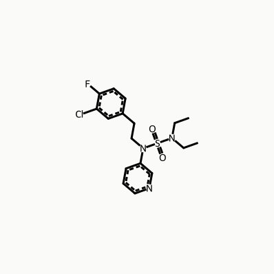 CCN(CC)S(=O)(=O)N(CCc1ccc(F)c(Cl)c1)c1cccnc1